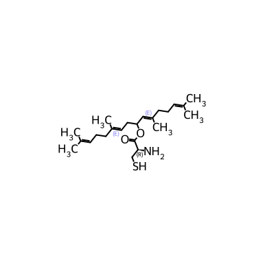 CC(C)=CCC/C(C)=C/CC(/C=C(\C)CCC=C(C)C)OC(=O)[C@@H](N)CS